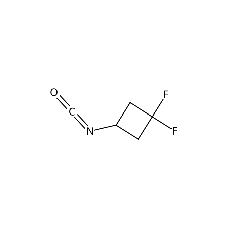 O=C=NC1CC(F)(F)C1